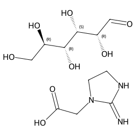 N=C1NCCN1CC(=O)O.O=C[C@H](O)[C@@H](O)[C@H](O)[C@H](O)CO